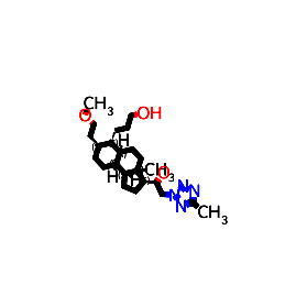 COCC[C@@H]1CC[C@@H]2[C@H](CC[C@]3(C)[C@@H](C(=O)Cn4nnc(C)n4)CC[C@@H]23)[C@H]1CCCO